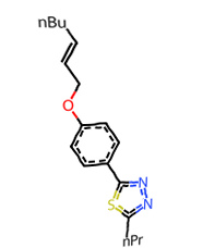 CCCCC=CCOc1ccc(-c2nnc(CCC)s2)cc1